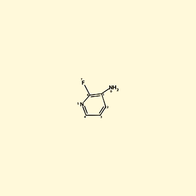 Nc1[c]ccnc1F